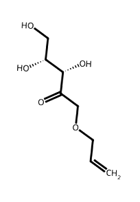 C=CCOCC(=O)[C@@H](O)[C@H](O)CO